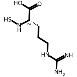 N=C(N)NCCC[C@H](NS)C(=O)O